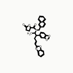 CC(C(CC=Cc1nc2ccccc2o1)c1ccc2c(c1)OCO2)N(Cc1ccc2ccccc2c1)C(=O)C1CCC(=O)O1